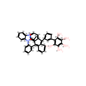 Bc1c(B)c(B)c(-c2cccc(-c3c4ccccc4c(-c4ccccc4-n4c(CC)nc5ccccc54)c4ccccc34)c2)c(B)c1B